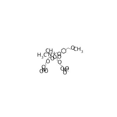 COCCc1ccc(OCC(CN(C(=O)COCCO[N+](=O)[O-])C(C)C)OC(=O)COCCO[N+](=O)[O-])cc1